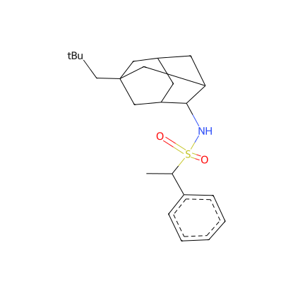 CC(c1ccccc1)S(=O)(=O)NC1C2CC3CC1CC(CC(C)(C)C)(C3)C2